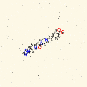 O=C1OCc2cc(CCN3CCN(C(=O)Cc4ccc(-n5cncn5)cn4)CC3)ccc21